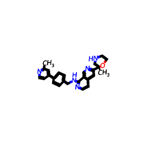 Cc1cc(-c2ccc(CNc3nccc4cc([C@]5(C)CNCCO5)ncc34)cc2)ccn1